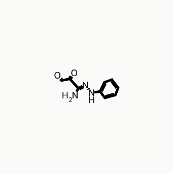 N/C(=N\Nc1ccccc1)C(=O)C=O